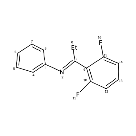 CCC(=Nc1ccccc1)c1c(F)cccc1F